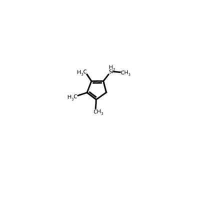 C[SiH2]C1=C(C)C(C)=C(C)C1